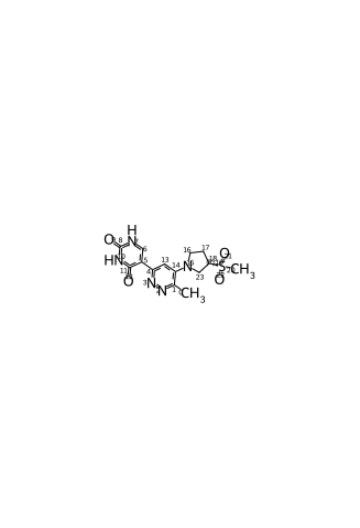 Cc1nnc(-c2c[nH]c(=O)[nH]c2=O)cc1N1CC[C@@H](S(C)(=O)=O)C1